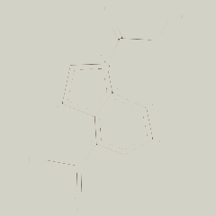 CC(C)(C)OC(=O)n1ccc2c(S(=O)O)cccc21